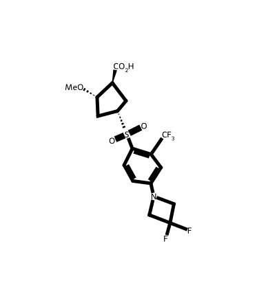 CO[C@H]1C[C@@H](S(=O)(=O)c2ccc(N3CC(F)(F)C3)cc2C(F)(F)F)C[C@@H]1C(=O)O